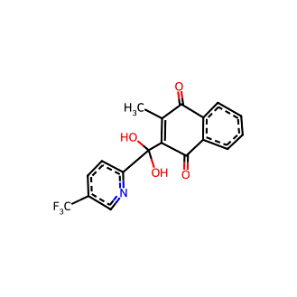 CC1=C(C(O)(O)c2ccc(C(F)(F)F)cn2)C(=O)c2ccccc2C1=O